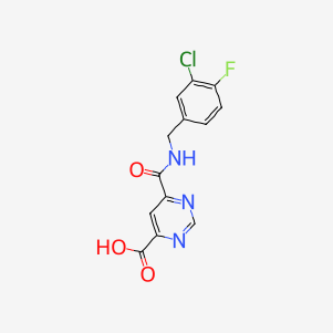 O=C(O)c1cc(C(=O)NCc2ccc(F)c(Cl)c2)ncn1